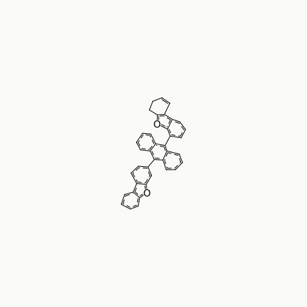 C1=Cc2c(oc3c(-c4c5ccccc5c(-c5ccc6c(c5)oc5ccccc56)c5ccccc45)cccc23)CC1